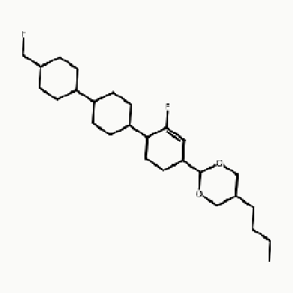 CCCCC1COC(C2C=C(F)C(C3CCC(C4CCC(CF)CC4)CC3)CC2)OC1